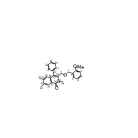 COc1ccccc1COCc1c(-c2ccccc2)c2cc(C)c(C)cc2c(=O)n1C